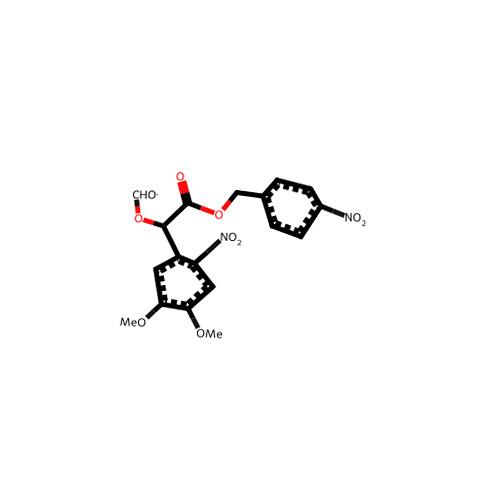 COc1cc(C(O[C]=O)C(=O)OCc2ccc([N+](=O)[O-])cc2)c([N+](=O)[O-])cc1OC